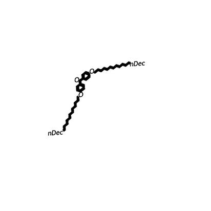 CCCCCCCCCCCCCCCCCCCCCCOc1ccc(C(=O)c2ccc(OCCCCCCCCCCCCCCCCCCCCCC)cc2)cc1